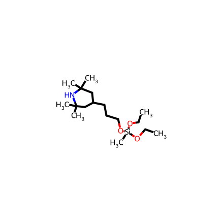 CCO[Si](C)(OCC)OCCCC1CC(C)(C)NC(C)(C)C1